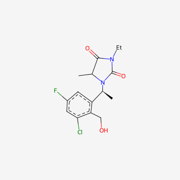 CCN1C(=O)C(C)N([C@@H](C)c2cc(F)cc(Cl)c2CO)C1=O